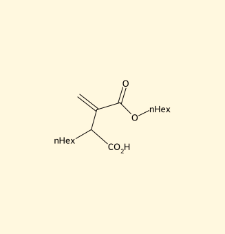 C=C(C(=O)OCCCCCC)C(CCCCCC)C(=O)O